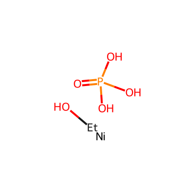 CCO.O=P(O)(O)O.[Ni]